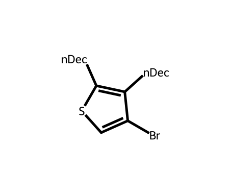 CCCCCCCCCCc1scc(Br)c1CCCCCCCCCC